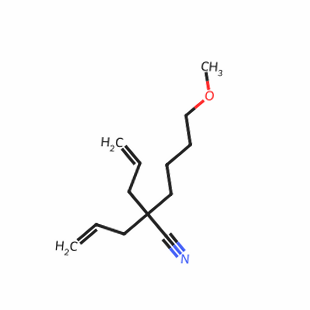 C=CCC(C#N)(CC=C)CCCCOC